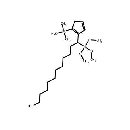 CCCCCCCCCCCC(C1=[C]([Pt]([CH3])([CH3])[CH3])CC=C1)[Si](OC)(OC)OC